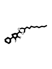 CCCCCCCCCC1COC(c2ccc(-c3ccccc3)c(F)c2F)OC1